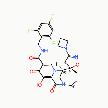 C[C@H]1CC[C@]2(CC(N3CCC3)=NO2)[C@H]2CN1C(=O)c1c(O)c(=O)c(C(=O)NCc3c(F)cc(F)cc3F)cn12